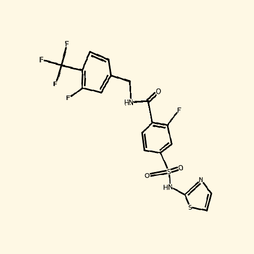 O=C(NCc1ccc(C(F)(F)F)c(F)c1)c1ccc(S(=O)(=O)Nc2nccs2)cc1F